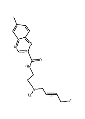 CCN(C/C=C/CF)CCNC(=O)c1cnc2cc(I)ccc2n1